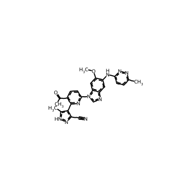 COc1cc2c(cc1Nc1ccc(C)nn1)ncn2-c1ccc(C(C)=O)c(-c2c(C#N)n[nH]c2C)n1